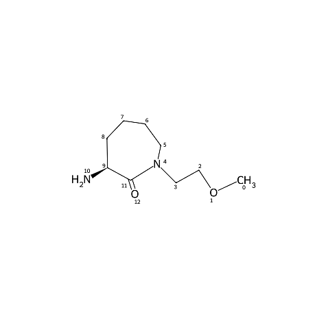 COCCN1CCCC[C@H](N)C1=O